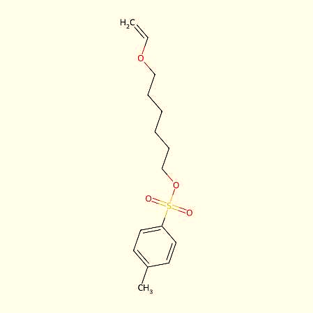 C=COCCCCCCOS(=O)(=O)c1ccc(C)cc1